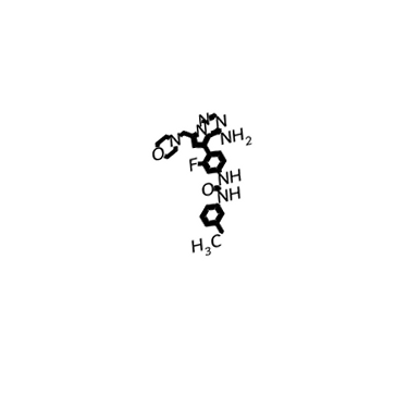 CCc1cccc(NC(=O)Nc2ccc(-c3cc(CN4CCOCC4)n4ncnc(N)c34)c(F)c2)c1